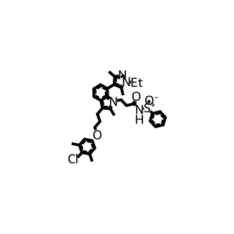 CCn1nc(C)c(-c2cccc3c(CCCOc4cc(C)c(Cl)c(C)c4)c(C)n(CCC(=O)N[S+]([O-])c4ccccc4)c23)c1C